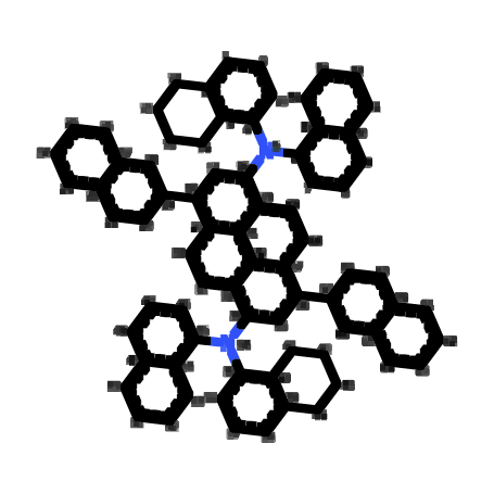 c1cc2c(c(N(c3cccc4ccccc34)c3cc(-c4ccc5ccccc5c4)c4ccc5c(N(c6cccc7c6CCCC7)c6cccc7ccccc67)cc(-c6ccc7ccccc7c6)c6ccc3c4c65)c1)CCCC2